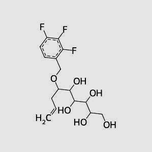 C=CCC(OCc1ccc(F)c(F)c1F)C(O)C(O)C(O)C(O)CO